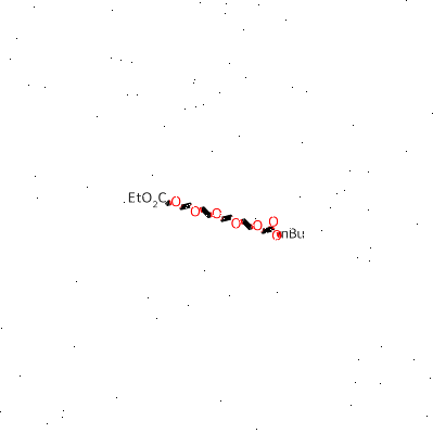 CCCCOC(=O)COCCOCCOCCOCCOCC(=O)OCC